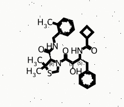 Cc1ccccc1CNC(=O)[C@H]1N(C(=O)[C@@H](O)[C@H](Cc2ccccc2)NC(=O)C2CCC2)CSC1(C)C